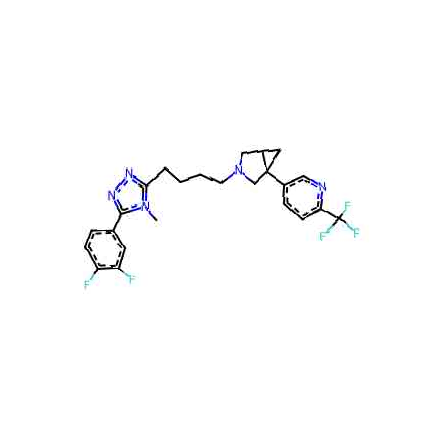 Cn1c(CCCCN2CC3CC3(c3ccc(C(F)(F)F)nc3)C2)nnc1-c1ccc(F)c(F)c1